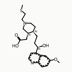 COc1ccc2nccc([C@H](O)CC[C@@H]3CCN(CCSC)C[C@@H]3CC(=O)O)c2c1